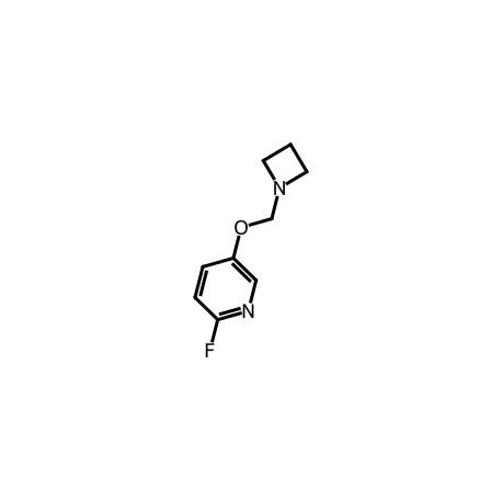 Fc1ccc(OCN2CCC2)cn1